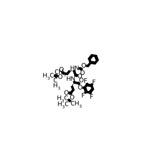 CC(C)(C)OC(=O)CC[C@H](NC(=O)OCc1ccccc1)C(=O)N[C@@H](CCC(=O)OC(C)(C)C)C(=O)Oc1c(F)c(F)cc(F)c1F